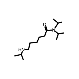 CC(C)NCCCCCC(=O)N(C(C)C)C(C)C